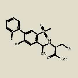 COC(=O)[C@H](CC(C)C)NC(c1cc(O)c(-c2ccccc2F)cc1S(C)(=O)=O)C(F)(F)F